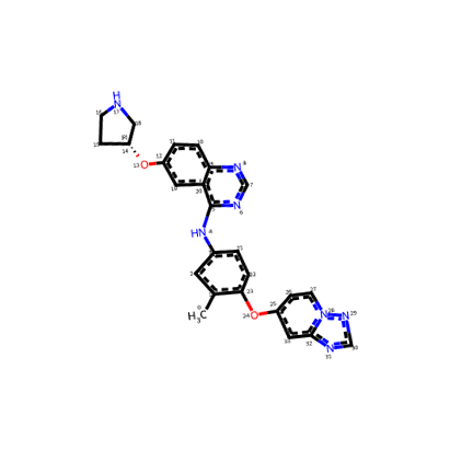 Cc1cc(Nc2ncnc3ccc(O[C@@H]4CCNC4)cc23)ccc1Oc1ccn2ncnc2c1